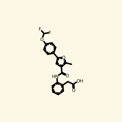 Cc1oc(-c2ccc(OC(F)F)cc2)cc1C(=O)Nc1ccccc1CC(=O)O